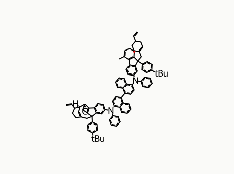 C=CC1CC=C(CC2(c3ccc(C(C)(C)C)cc3)C3=C(C(C)=CCC3)c3ccc(N(c4ccccc4)c4ccc(-c5ccc(N(c6ccccc6)c6ccc7c(c6)C6(c8ccc(C(C)(C)C)cc8)CC8=C[C@@H](C9=CCCC6=C97)C(C=C)CC8)c6ccccc56)c5ccccc45)cc32)CC1